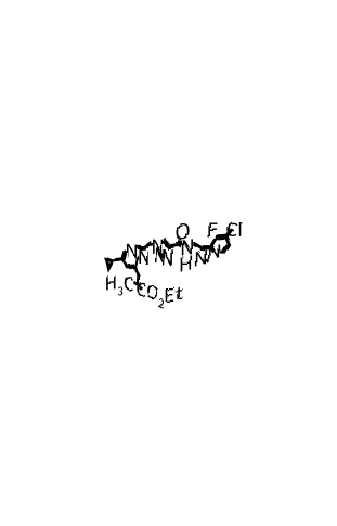 CCOC(=O)C(C)Cc1cc(C2CC2)cn2cc(Cn3cc(C(=O)NCc4ncn5ccc(Cl)c(F)c45)nn3)nc12